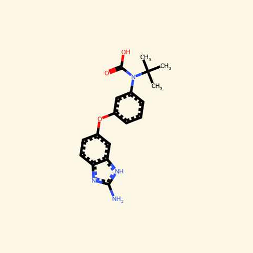 CC(C)(C)N(C(=O)O)c1cccc(Oc2ccc3nc(N)[nH]c3c2)c1